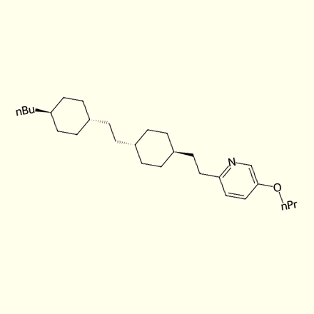 CCCC[C@H]1CC[C@H](CC[C@H]2CC[C@H](CCc3ccc(OCCC)cn3)CC2)CC1